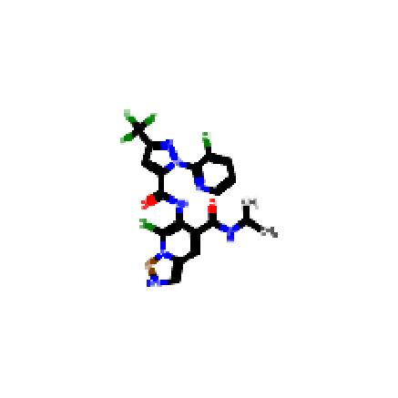 CC(C)NC(=O)C1=CC2=CNSN2C(Cl)=C1NC(=O)c1cc(C(F)(F)F)nn1-c1ncccc1Cl